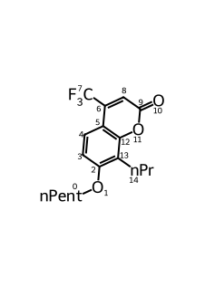 CCCCCOc1ccc2c(C(F)(F)F)cc(=O)oc2c1CCC